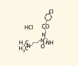 CN(C)CCCCN1C(=O)NCC1N=Cc1ccc(-c2ccc(Cl)cc2)o1.Cl